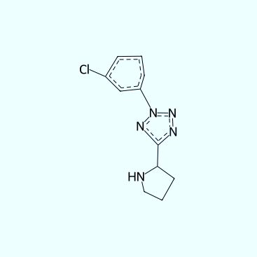 Clc1cccc(-n2nnc(C3CCCN3)n2)c1